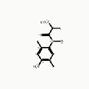 CCOC(=O)C(C)C(=O)N(c1cc(C)c(N)cc1C)C(C)C